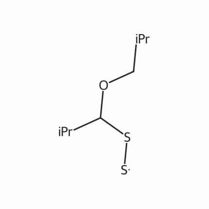 CC(C)COC(S[S])C(C)C